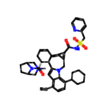 COc1ccc(C2CCCCC2)c2c1cc1n2CC2=C(C(=O)NS(=O)(=O)Cc3ccccn3)C2=C2C=CC[C@@H](C(=O)N3C4CCC3CN(C)C4)C21